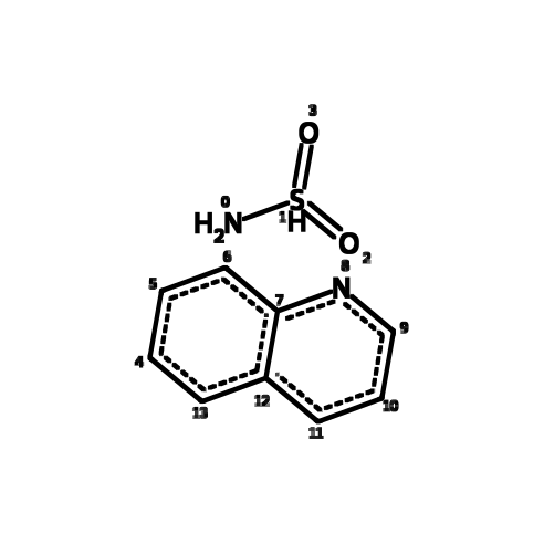 N[SH](=O)=O.c1ccc2ncccc2c1